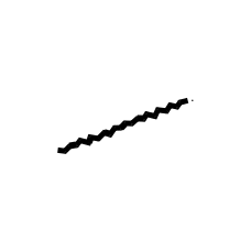 [CH2]CCCCCCC/C=C/C/C=C/C/C=C/C/C=C/C/C=C/CC